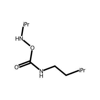 CC(C)CCNC(=O)ONC(C)C